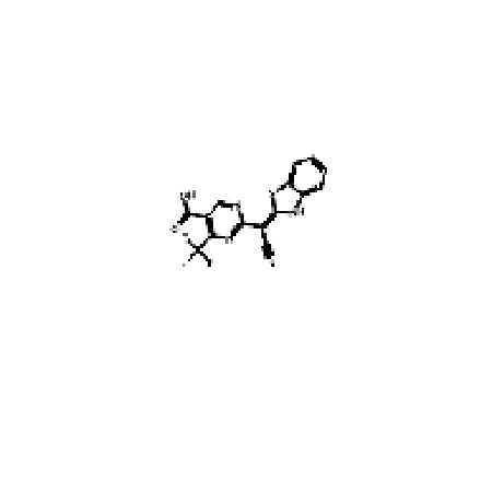 N#CC(=C1Nc2ccccc2S1)c1ncc(C(=O)O)c(C(F)(F)F)n1